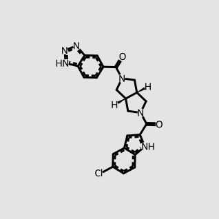 O=C(c1ccc2[nH]nnc2c1)N1C[C@@H]2CN(C(=O)c3cc4cc(Cl)ccc4[nH]3)C[C@@H]2C1